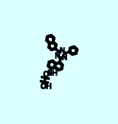 CC(C)(O)C(C)(C)OBc1cccc2c(-c3nc(-c4ccccc4)nc(-c4ccc5ccccc5c4)n3)cccc12